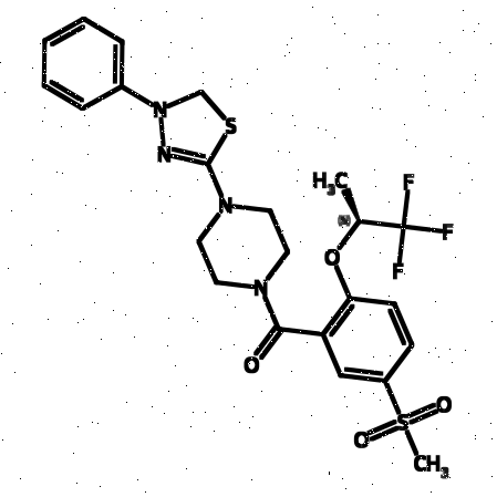 C[C@H](Oc1ccc(S(C)(=O)=O)cc1C(=O)N1CCN(C2=NN(c3ccccc3)CS2)CC1)C(F)(F)F